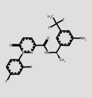 C[C@@H](NC(=O)c1ccc(=O)n(-c2ccc(F)cc2F)n1)c1cc(N)cc(C(C)(F)F)c1